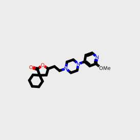 COc1cc(N2CCN(CCC3CC4(CCCCC4)C(=O)O3)CC2)ccn1